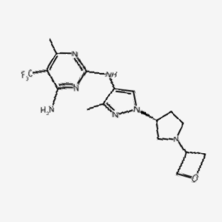 Cc1nn([C@H]2CCN(C3COC3)C2)cc1Nc1nc(C)c(C(F)(F)F)c(N)n1